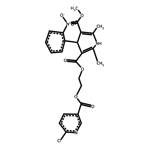 COC(=O)C1=C(C)NC(C)=C(C(=O)OCCOC(=O)c2ccc(Cl)nc2)C1c1ccccc1[N+](=O)[O-]